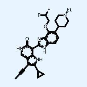 CC#Cc1c(C2CC2)[nH]c2c(-c3nc4c(OCC(F)F)c(C5CCN(CC)CC5)ccc4[nH]3)c(=O)[nH]cc12